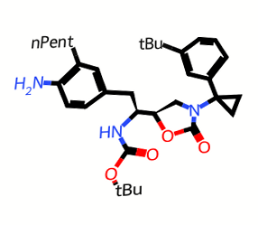 CCCCCc1cc(C[C@H](NC(=O)OC(C)(C)C)[C@H]2CN(C3(c4cccc(C(C)(C)C)c4)CC3)C(=O)O2)ccc1N